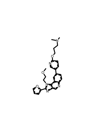 COCCn1c(-c2ccco2)nc2cnc3ccc(-c4ccc(OCCCN(C)C)nc4)cc3c21